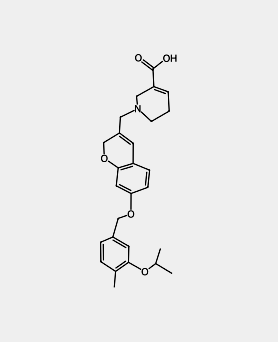 Cc1ccc(COc2ccc3c(c2)OCC(CN2CCC=C(C(=O)O)C2)=C3)cc1OC(C)C